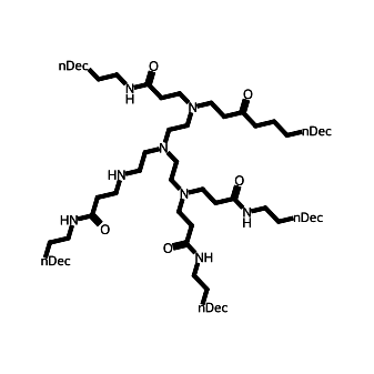 CCCCCCCCCCCCCC(=O)CCN(CCC(=O)NCCCCCCCCCCCC)CCN(CCNCCC(=O)NCCCCCCCCCCCC)CCN(CCC(=O)NCCCCCCCCCCCC)CCC(=O)NCCCCCCCCCCCC